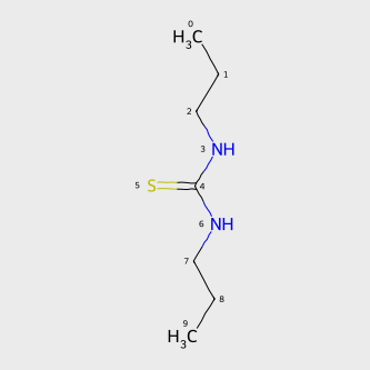 CCCNC(=S)NCCC